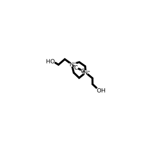 OCC[N+]12CC[N+](CCO)(CC1)CC2